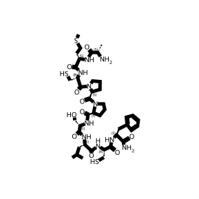 CSCC[C@H](NC(=O)[C@H](C)N)C(=O)N[C@@H](CS)C(=O)N1CCC[C@H]1C(=O)N1CCC[C@H]1C(=O)N[C@@H](CO)C(=O)N[C@@H](CC(C)C)C(=O)N[C@@H](CS)C(=O)N[C@@H](Cc1ccccc1)C(N)=O